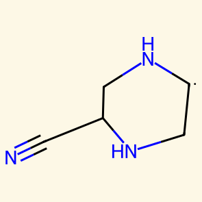 N#CC1CN[CH]CN1